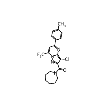 Cc1ccc(-c2cc(C(F)(F)F)n3nc(C(=O)N4CCCCCC4)c(Cl)c3n2)cc1